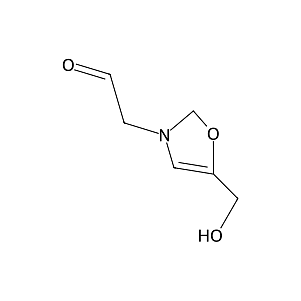 O=CCN1C=C(CO)OC1